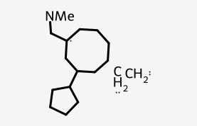 CNC[C]1CCCCCC(C2CCCC2)C1.[CH2].[CH2]